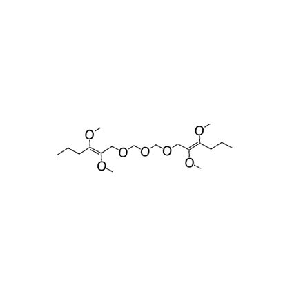 CCCC(OC)=C(COCOCOCC(OC)=C(CCC)OC)OC